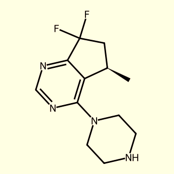 C[C@@H]1CC(F)(F)c2ncnc(N3CCNCC3)c21